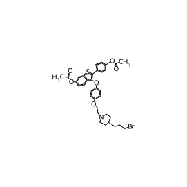 CC(=O)Oc1ccc(-c2sc3cc(OC(C)=O)ccc3c2Oc2ccc(OCCN3CCC(CCCBr)CC3)cc2)cc1